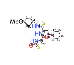 COc1ccc(CNC(=S)[C@@H](CCC2CCCCC2)NC(=O)[C@@H]2CSC(=O)N2)cc1